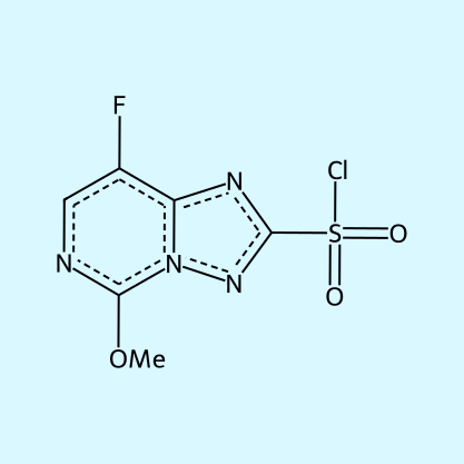 COc1ncc(F)c2nc(S(=O)(=O)Cl)nn12